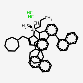 CC[CH2][Zr]([CH3])(=[SiH2])([CH]1C(CC2CCCCCC2)=Cc2c(-c3cccc4ccccc34)cccc21)[CH]1C(CC2CCCCCC2)=Cc2c(-c3cccc4ccccc34)cccc21.Cl.Cl